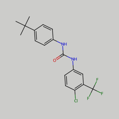 CC(C)(C)c1ccc(NC(=O)Nc2ccc(Cl)c(C(F)(F)F)c2)cc1